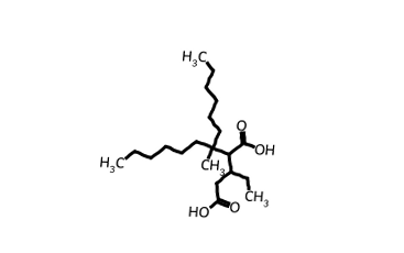 CCCCCCC(C)(CCCCCC)C(C(=O)O)C(CC)CC(=O)O